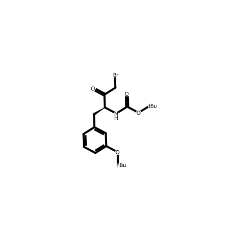 CCCCOc1cccc(C[C@H](NC(=O)OC(C)(C)C)C(=O)CBr)c1